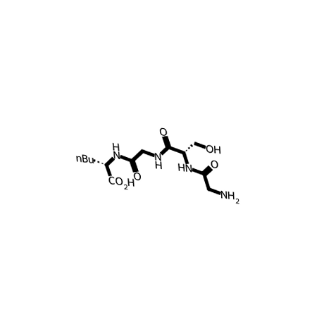 CCCC[C@H](NC(=O)CNC(=O)[C@H](CO)NC(=O)CN)C(=O)O